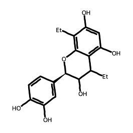 CCc1c(O)cc(O)c2c1O[C@H](c1ccc(O)c(O)c1)C(O)C2CC